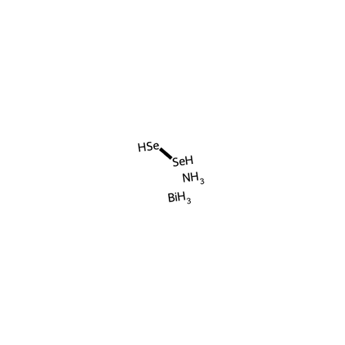 N.[BiH3].[SeH][SeH]